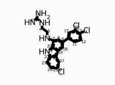 N=C(N)NCCNc1cc(-c2ccc(Cl)c(Cl)c2)cc2c1[nH]c1ccc(Cl)cc12